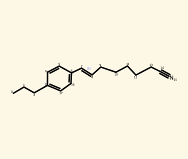 CCCc1ccc(/C=C/CCCCCC#N)cc1